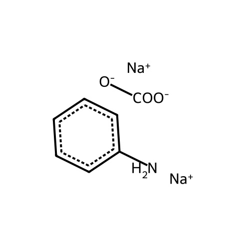 Nc1ccccc1.O=C([O-])[O-].[Na+].[Na+]